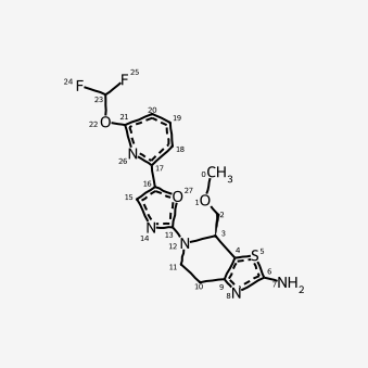 COC[C@H]1c2sc(N)nc2CCN1c1ncc(-c2cccc(OC(F)F)n2)o1